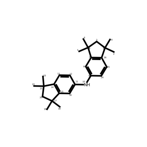 CC1(C)CC(C)(C)c2cc(Nc3ccc4c(c3)C(C)(C)CC4(C)C)ccc21